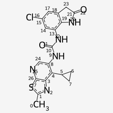 Cc1nc2c(C3CC3)c(NC(=O)Nc3cc(Cl)cc4c3NC(=O)C4)cnc2s1